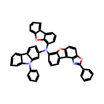 c1ccc(-c2nc3c(ccc4oc5c(N(c6ccc7c8ccccc8n(-c8ccccc8)c7c6)c6cccc7c6oc6ccccc67)cccc5c43)o2)cc1